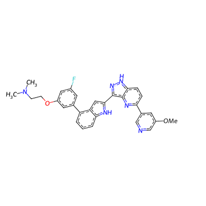 COc1cncc(-c2ccc3[nH]nc(-c4cc5c(-c6cc(F)cc(OCCN(C)C)c6)cccc5[nH]4)c3n2)c1